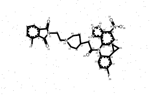 O=C1c2cccc(F)c2C(=O)N1CCN1CCC(CC(=O)N(c2ccc(F)cc2C2CC2)c2ccc([N+](=O)[O-])c3nonc23)CC1